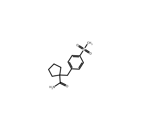 CS(=O)(=O)c1ccc(CC2(C(N)=O)CCCC2)cc1